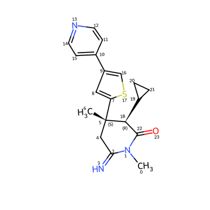 CN1C(=N)C[C@](C)(c2cc(-c3ccncc3)cs2)[C@@H](C2CC2)C1=O